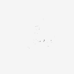 CCOc1ccc(S(=O)(=O)CCN(C(=O)NCCN(CC)CC)C(C)C)cc1.O=C(O)CC(O)(CC(=O)O)C(=O)O